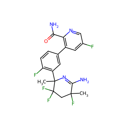 CC1(F)CC(F)(F)C(C)(c2cc(-c3cc(F)cnc3C(N)=O)ccc2F)N=C1N